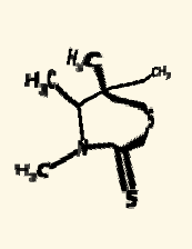 CC1N(C)C(=S)SC1(C)C